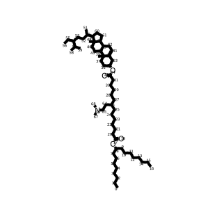 CCCCCCCCC(CCCCCCCC)OC(=O)CCCCCCC(CCCCCC(=O)OC1CCC2(C)C(=CCC3C2CCC2(C)C(C(C)CCC(CC)C(C)C)CCC32)C1)CCN(C)C